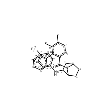 Cc1cnc(C(=O)N2C3CCC2C(Nc2ccc(C(F)(F)F)cn2)C3)c(-c2ncccn2)c1C